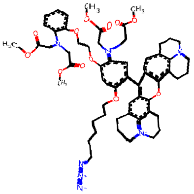 COC(=O)CN(CC(=O)OC)c1ccccc1OCCOc1cc(OCCCCCCN=[N+]=[N-])c(C2=c3cc4c5c(c3Oc3c2cc2c6c3CCCN6CCC2)CCC[N+]=5CCC4)cc1N(CC(=O)OC)CC(=O)OC